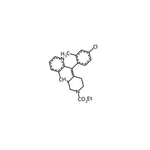 CCOC(=O)N1CCC(=C(c2ccc(Cl)cc2C)c2ncccc2C)CC1